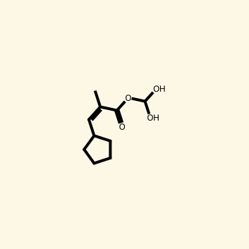 CC(=CC1CCCC1)C(=O)OC(O)O